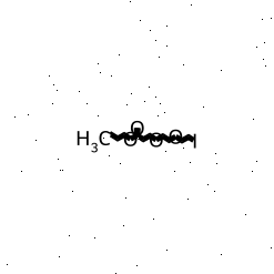 CCCCOC(=O)CCOCCOCCI